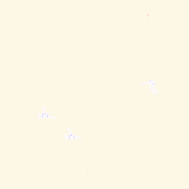 Cc1cc(-c2cc(NC(=O)NCC(C)C)c(F)cc2C)cc(OCCO)n1